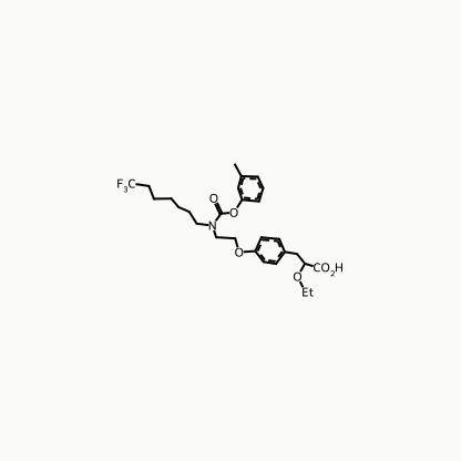 CCOC(Cc1ccc(OCCN(CCCCCCC(F)(F)F)C(=O)Oc2cccc(C)c2)cc1)C(=O)O